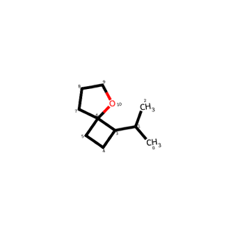 CC(C)C1CCC12CCCO2